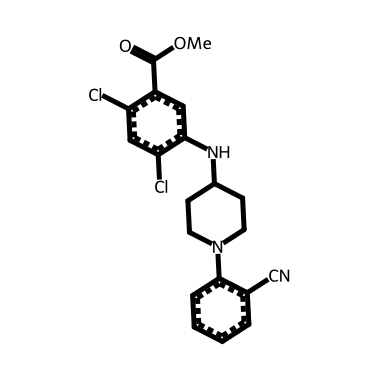 COC(=O)c1cc(NC2CCN(c3ccccc3C#N)CC2)c(Cl)cc1Cl